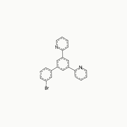 Brc1cccc(-c2cc(-c3ccccn3)cc(-c3ccccn3)c2)c1